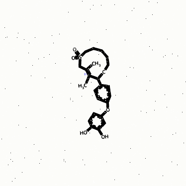 C/C1=C(/C)C(c2ccc(Oc3ccc(O)c(O)c3)cc2)CCCCCCS(=O)(=O)C1